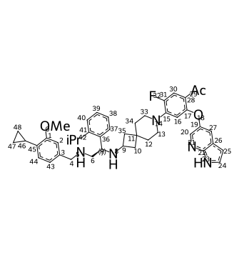 COc1cc(CNC[C@H](NC2CC3(CCN(c4cc(Oc5cnc6[nH]ccc6c5)c(C(C)=O)cc4F)CC3)C2)c2ccccc2C(C)C)ccc1C1CC1